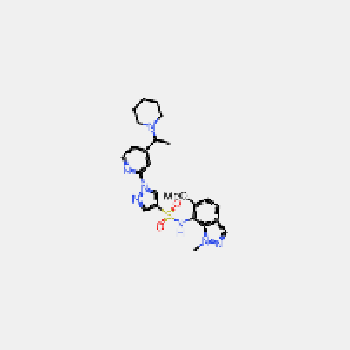 COc1ccc2cnn(C)c2c1NS(=O)(=O)c1cnn(-c2cc(C(C)N3CCCCC3)ccn2)c1